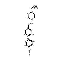 CC[C@H]1CC[C@H](CCc2ccc(-c3ccc(C#N)cn3)cc2)CC1